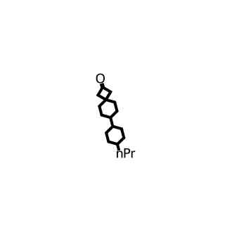 CCCC1CCC(C2CCC3(CC2)CC(=O)C3)CC1